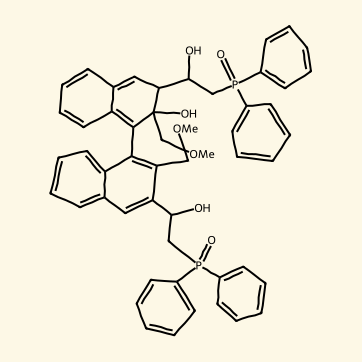 COCc1c(C(O)CP(=O)(c2ccccc2)c2ccccc2)cc2ccccc2c1C1=c2ccccc2=CC(C(O)CP(=O)(c2ccccc2)c2ccccc2)C1(O)COC